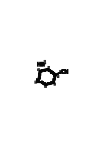 Br.N#Cc1ccncc1